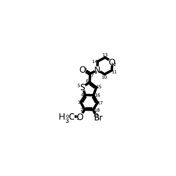 COc1cc2sc(C(=O)N3CCOCC3)cc2cc1Br